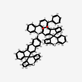 c1ccc(-c2ccc(-c3ccccc3N(c3ccc4c(c3)C3(c5ccccc5Oc5ccccc53)c3ccccc3-4)c3ccc4cc5c(cc4c3)-c3ccccc3C53c4ccccc4Oc4ccccc43)cc2)cc1